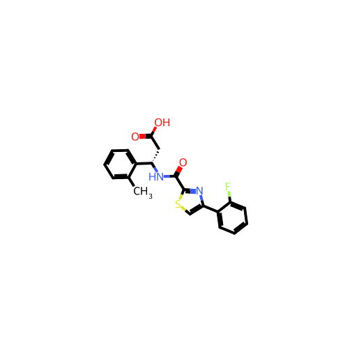 Cc1ccccc1[C@H](CC(=O)O)NC(=O)c1nc(-c2ccccc2F)cs1